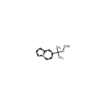 CC(C)(OC=O)c1ccn2cccc2c1